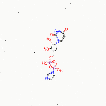 O=c1ccn([C@H]2C[C@H](COP(=O)(O)OP(=O)(O)n3ccnc3)C(O)[C@@H]2O)c(=O)[nH]1